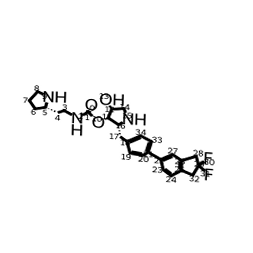 O=C(NCC[C@@H]1CCCN1)O[C@@H]1[C@@H](O)CN[C@@H]1Cc1ccc(-c2ccc3c(c2)CC(F)(F)C3)cc1